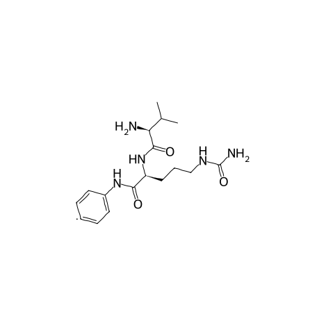 CC(C)[C@H](N)C(=O)N[C@@H](CCCNC(N)=O)C(=O)Nc1cc[c]cc1